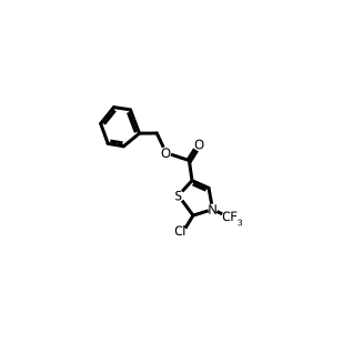 O=C(OCc1ccccc1)C1=CN(C(F)(F)F)C(Cl)S1